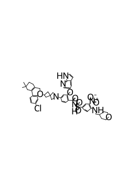 CC1(C)CCC(COC2CC3(C2)CN(c2ccc(C(=O)NS(=O)(=O)c4ccc(NCC5CCOCC5)c([N+](=O)[O-])c4)c(Oc4cnc5[nH]ccc5c4)c2)C3)=C(c2ccc(Cl)cc2)C1